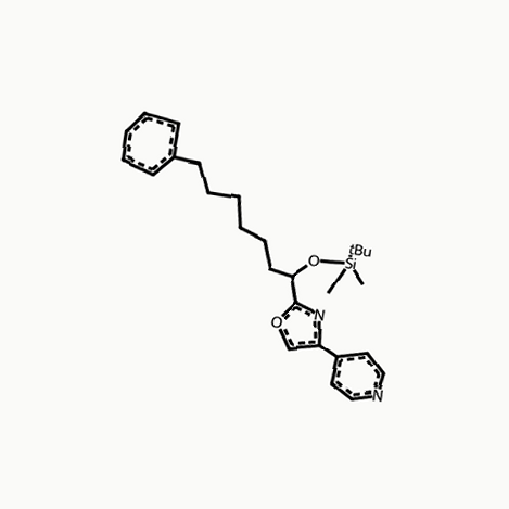 CC(C)(C)[Si](C)(C)OC(CCCCCCc1ccccc1)c1nc(-c2ccncc2)co1